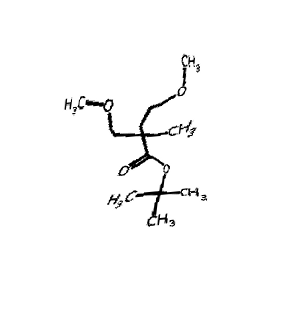 COCC(C)(COC)C(=O)OC(C)(C)C